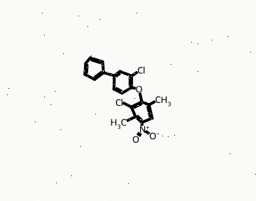 Cc1cc([N+](=O)[O-])c(C)c(Cl)c1Oc1ccc(-c2ccccc2)cc1Cl